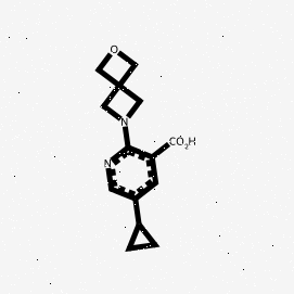 O=C(O)c1cc(C2CC2)cnc1N1CC2(COC2)C1